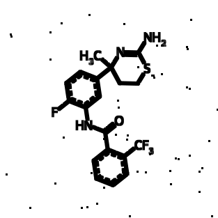 CC1(c2ccc(F)c(NC(=O)c3ccccc3C(F)(F)F)c2)CCSC(N)=N1